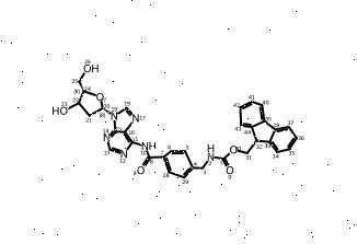 O=C(NCc1ccc(C(=O)Nc2ncnc3c2ncn3[C@H]2CC(O)[C@@H](CO)O2)cc1)OCC1c2ccccc2-c2ccccc21